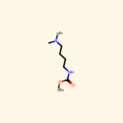 CCCN(C)CCCCNC(=O)OC(C)(C)C